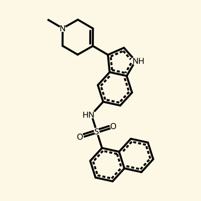 CN1CC=C(c2c[nH]c3ccc(NS(=O)(=O)c4cccc5ccccc45)cc23)CC1